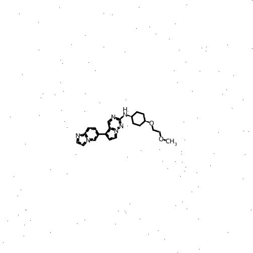 COCCO[C@H]1CC[C@@H](Nc2ncc3c(-c4ccc5nccn5c4)ccn3n2)CC1